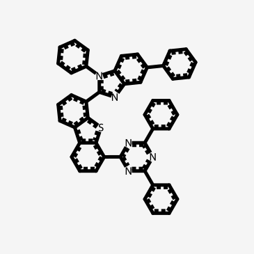 c1ccc(-c2ccc3c(c2)nc(-c2cccc4c2sc2c(-c5nc(-c6ccccc6)nc(-c6ccccc6)n5)cccc24)n3-c2ccccc2)cc1